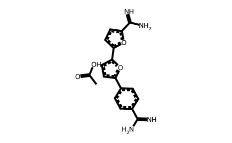 CC(=O)O.N=C(N)c1ccc(-c2ccc(-c3ccc(C(=N)N)o3)o2)cc1